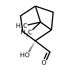 CC1(C)C2CC[C@](O)(C=O)C1C2